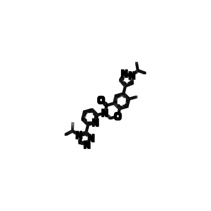 Cc1cc2c(cc1-c1cnn(C(C)C)c1)C(=O)N(c1cccc(-c3nncn3C(C)C)n1)CO2